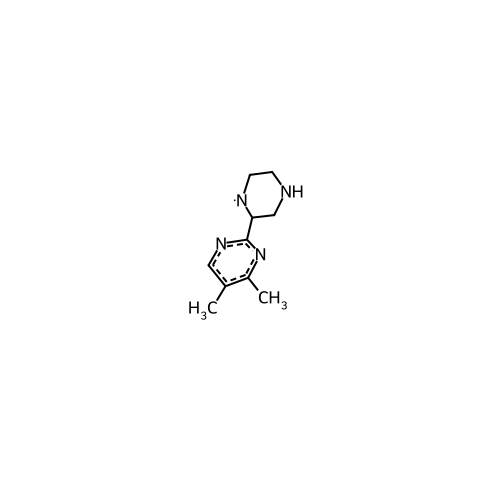 Cc1cnc(C2CNCC[N]2)nc1C